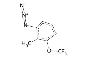 Cc1c(N=[N+]=[N-])cccc1OC(F)(F)F